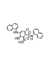 N=C1C(Nc2cccc3ccccc23)=CC(Cl)=C(S(=O)(=O)Nc2cccc3ccccc23)/C1=N/O